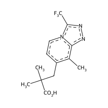 Cc1c(CC(C)(C)C(=O)O)ccn2c(C(F)(F)F)nnc12